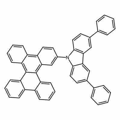 c1ccc(-c2ccc3c(c2)c2cc(-c4ccccc4)ccc2n3-c2ccc3c4ccccc4c4c5ccccc5c5ccccc5c4c3c2)cc1